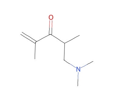 C=C(C)C(=O)C(C)CN(C)C